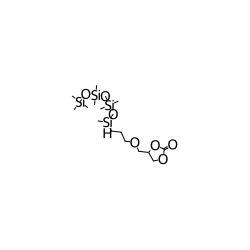 C[SiH](CCCOCC1COC(=O)O1)O[Si](C)(C)O[Si](C)(C)O[Si](C)(C)C